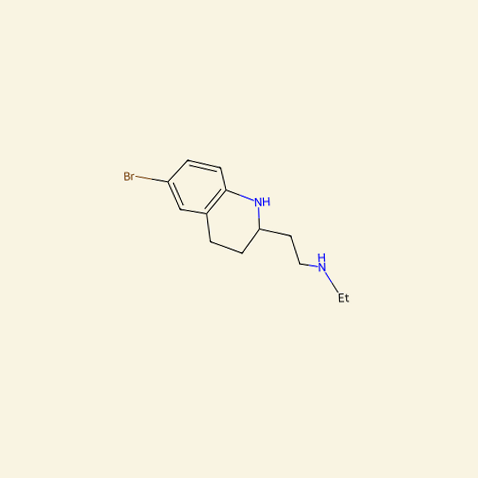 CCNCCC1CCc2cc(Br)ccc2N1